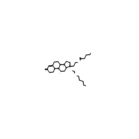 CCCCCOC(=O)O[C@]1(C(=O)COC(=O)CCCC)CC[C@H]2[C@@H]3CCC4=CC(=O)CC[C@]4(C)[C@H]3[C@@H](O)C[C@@]21C